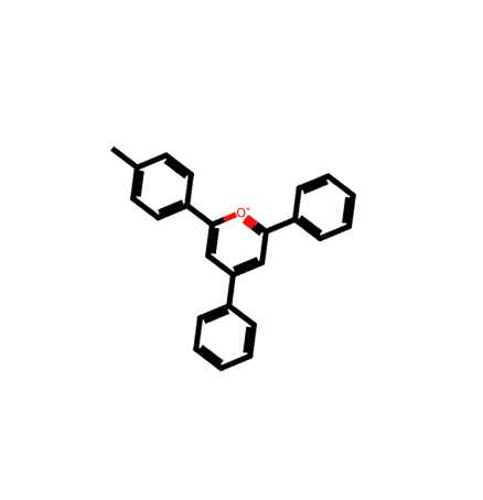 Cc1ccc(-c2cc(-c3ccccc3)cc(-c3ccccc3)[o+]2)cc1